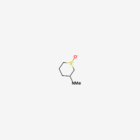 CNC1CCC[S+]([O-])C1